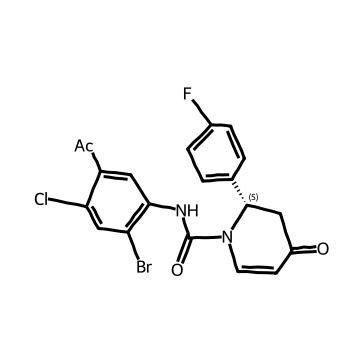 CC(=O)c1cc(NC(=O)N2C=CC(=O)C[C@H]2c2ccc(F)cc2)c(Br)cc1Cl